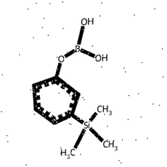 C[Si](C)(C)c1cccc(OB(O)O)c1